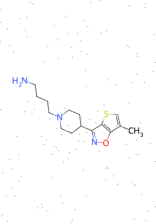 Cc1csc2c(C3CCN(CCCCN)CC3)noc12